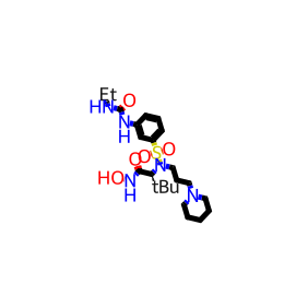 CCNC(=O)Nc1cccc(S(=O)(=O)N(CCCN2CCCCC2)[C@@H](C(=O)NO)C(C)(C)C)c1